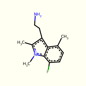 Cc1ccc(F)c2c1c(CCN)c(C)n2C